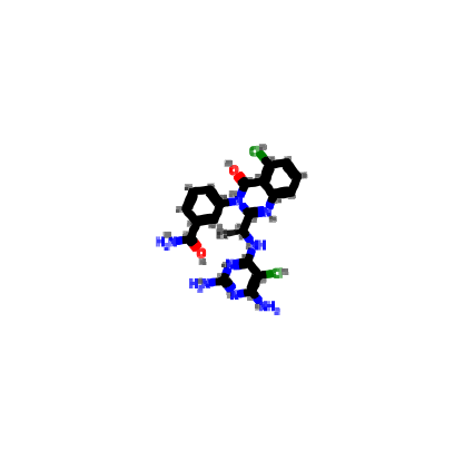 CC[C@H](Nc1nc(N)nc(N)c1Cl)c1nc2cccc(Cl)c2c(=O)n1-c1cccc(C(N)=O)c1